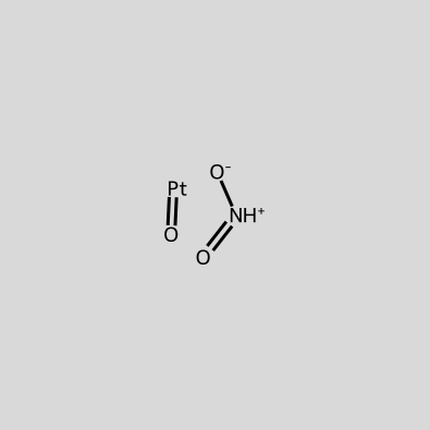 O=[NH+][O-].[O]=[Pt]